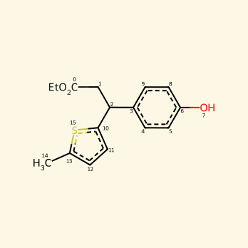 CCOC(=O)CC(c1ccc(O)cc1)c1ccc(C)s1